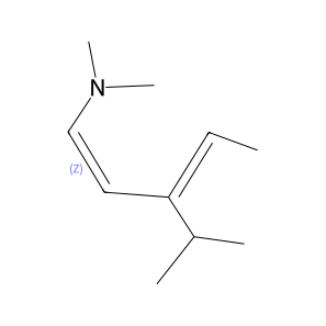 CC=C(/C=C\N(C)C)C(C)C